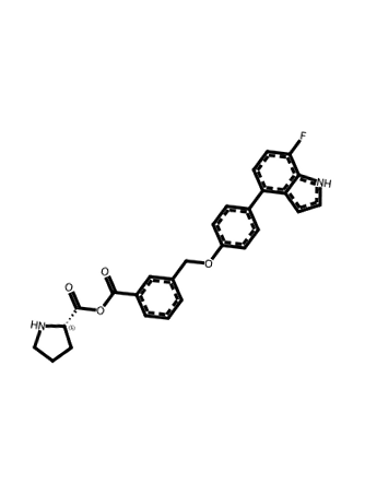 O=C(OC(=O)[C@@H]1CCCN1)c1cccc(COc2ccc(-c3ccc(F)c4[nH]ccc34)cc2)c1